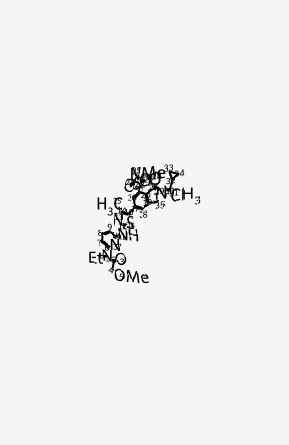 CCN(C(=O)COC)c1cccc(Nc2nc(C)c(-c3cc4c(c(S(=O)(=O)NC)c3)C(=O)N([C@@H](C)C3CC3)C4)s2)n1